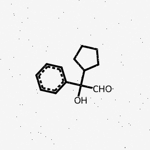 O=[C]C(O)(c1ccccc1)C1CCCC1